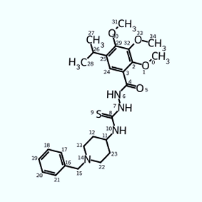 COc1c(C(=O)NNC(=S)NC2CCN(Cc3ccccc3)CC2)cc(C(C)C)c(OC)c1OC